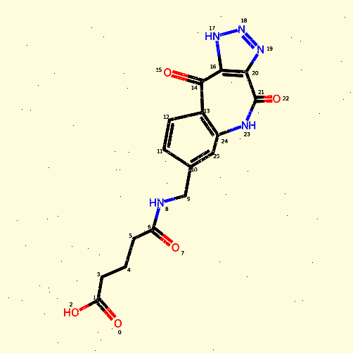 O=C(O)CCCC(=O)NCc1ccc2c(=O)c3[nH]nnc3c(=O)[nH]c2c1